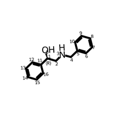 O[C@@H](CNCc1ccccc1)c1ccccc1